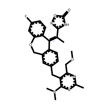 COCc1nc(C)nc(N(C)C)c1Cc1ccc2c(c1)COc1cc(F)ccc1/C2=C(/C)c1noc(=O)[nH]1